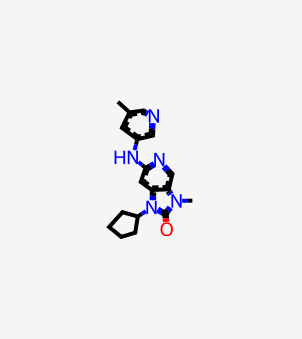 Cc1cncc(Nc2cc3c(cn2)n(C)c(=O)n3C2CCCC2)c1